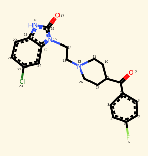 O=C(c1ccc(F)cc1)C1CCN(CCn2c(=O)[nH]c3ccc(Cl)cc32)CC1